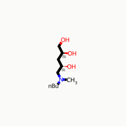 CCCCN(C)C[C@@H](O)C[C@H](O)CO